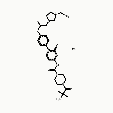 CC(CN1CC[C@@H](CN)C1)Oc1ccc(-n2ccc(NC(=O)N3CCN(C(=O)C(C)(C)N)CC3)nc2=O)cc1.Cl